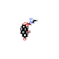 CCCNCCOC1(O)CC[C@H]2[C@@H]3CCC4=CC(=O)C=C[C@]4(C)[C@H]3C(=O)C[C@@]21C